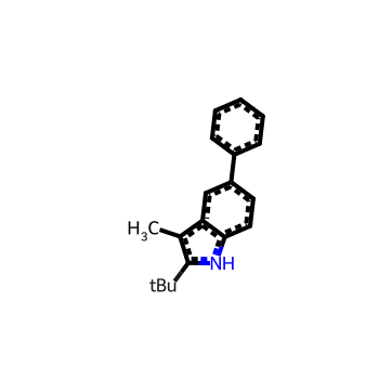 Cc1c(C(C)(C)C)[nH]c2ccc(-c3ccccc3)cc12